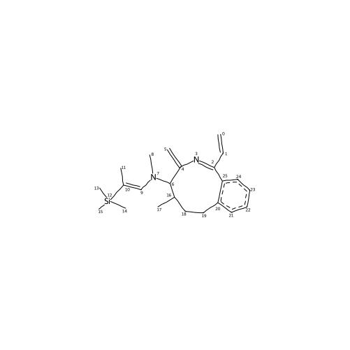 C=C/C1=N/C(=C)C(N(C)/C=C(\C)[Si](C)(C)C)C(C)CCc2ccccc21